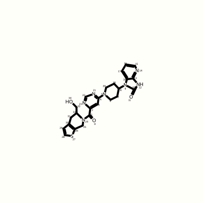 O=C(c1cc(N2CCC(n3c(=O)[nH]c4ncccc43)CC2)ncn1)N1Cc2sccc2CC1CO